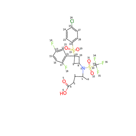 CC(CCC(=O)O)N(C1CC(c2cc(F)ccc2F)(S(=O)(=O)c2ccc(Cl)cc2)C1)S(=O)(=O)C(F)(F)F